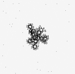 CC1(C)CCC(C)(C)c2cc(N3B4c5cc6oc(-c7ccccc7)nc6cc5-n5c6ccccc6c6c(-c7ccccc7)cc(c4c65)-c4cc5c(cc43)C(C)(C)CCC5(C)C)ccc21